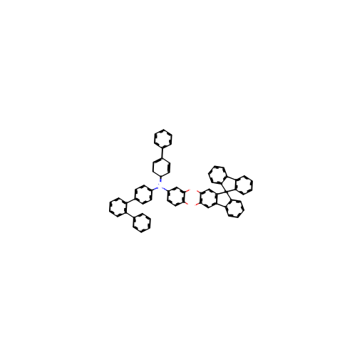 C1=CC(N(c2ccc(-c3ccccc3-c3ccccc3)cc2)c2ccc3c(c2)Oc2cc4c(cc2O3)-c2ccccc2C42c3ccccc3-c3ccccc32)CC=C1c1ccccc1